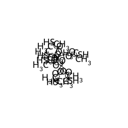 CC(C)(S)CC(=O)OCC(COCC(COC(=O)CC(C)(C)S)(COC(=O)CC(C)(C)S)COC(=O)CC(C)(C)S)(COC(=O)CC(C)(C)S)COC(=O)CC(C)(C)S